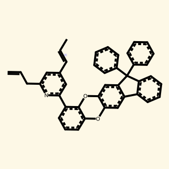 C=CCc1cc(/C=C/C)cc(-c2cccc3c2Oc2cc4c(cc2O3)-c2ccccc2C4(c2ccccc2)c2ccccc2)n1